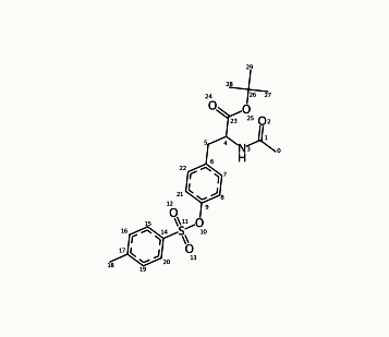 CC(=O)NC(Cc1ccc(OS(=O)(=O)c2ccc(C)cc2)cc1)C(=O)OC(C)(C)C